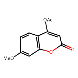 COc1ccc2c(OC(C)=O)cc(=O)oc2c1